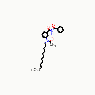 CCCCCCCCC=CCCCCCCCCN(C(=O)C(F)(F)F)c1cccc(C(=O)NC(=O)c2ccccc2)c1